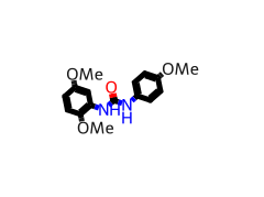 COc1ccc(NC(=O)Nc2cc(OC)ccc2OC)cc1